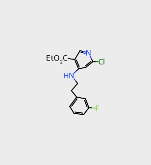 CCOC(=O)c1cnc(Cl)cc1NCCc1cccc(F)c1